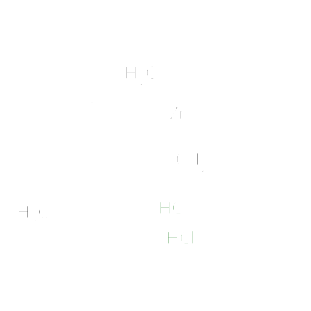 Cl.Cl.[CH2]=[Zr](=[CH2])([C]1=CC=CC1)[C]1=CC(C)=CC1